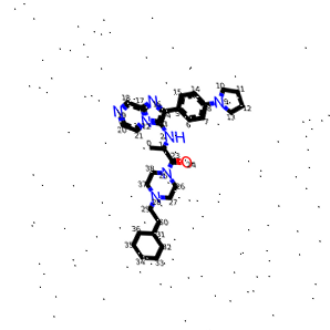 CC(Nc1c(-c2ccc(N3CCCC3)cc2)nc2cnccn12)C(=O)N1CCN(CCC2CCCCC2)CC1